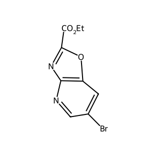 CCOC(=O)c1nc2ncc(Br)cc2o1